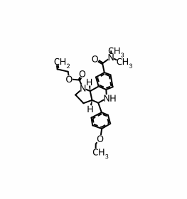 C=CCOC(=O)N1CC[C@H]2C(c3ccc(OCC)cc3)Nc3ccc(C(=O)N(C)C)cc3[C@H]21